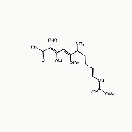 COC(=O)N/C=C/CCC(C)/C(=C/C(O)=C(\C=O)C(=O)C(C)C)OC